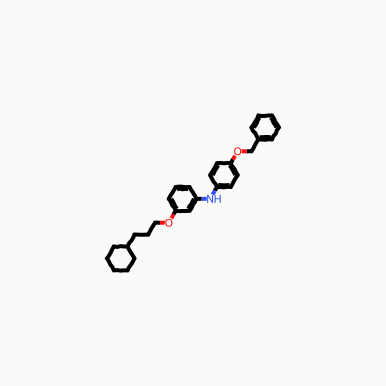 c1ccc(COc2ccc(Nc3cccc(OCCCC4CCCCC4)c3)cc2)cc1